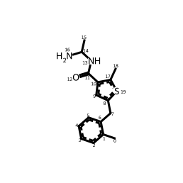 Cc1ccccc1Cc1cc(C(=O)NC(C)N)c(C)s1